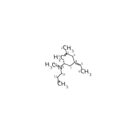 C=C(C)C/C(=C/C)CCN(C)CCC